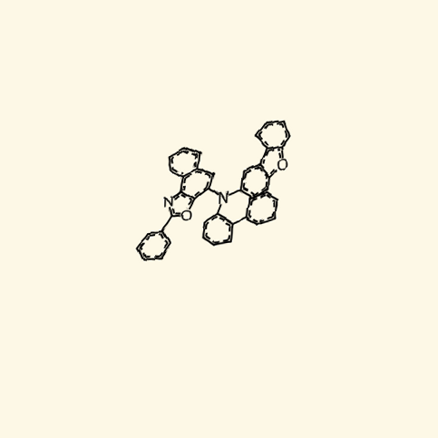 c1ccc(-c2nc3c(o2)c(N(c2ccc4oc5ccccc5c4c2)c2ccccc2-c2ccccc2)cc2ccccc23)cc1